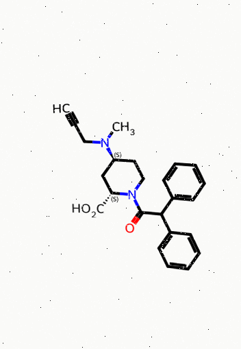 C#CCN(C)[C@H]1CCN(C(=O)C(c2ccccc2)c2ccccc2)[C@H](C(=O)O)C1